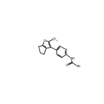 CC(C)C(=O)Nc1ccc(-c2c(C(F)(F)F)oc3c2CCC3)cn1